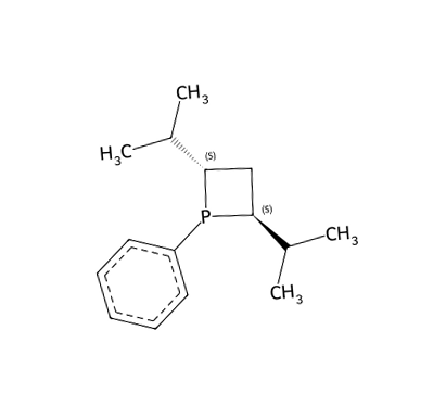 CC(C)[C@@H]1C[C@@H](C(C)C)P1c1ccccc1